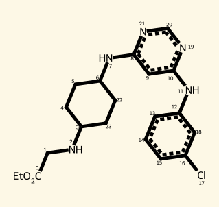 CCOC(=O)CNC1CCC(Nc2cc(Nc3cccc(Cl)c3)ncn2)CC1